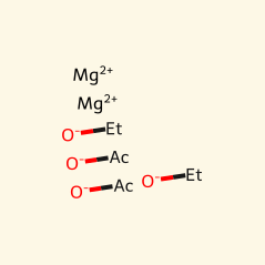 CC(=O)[O-].CC(=O)[O-].CC[O-].CC[O-].[Mg+2].[Mg+2]